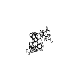 CCc1nc(C2CC2)c(C(N)=O)n1Cc1c2ccocc-2c(Cl)c1-c1ccccc1NS(=O)(=O)C(F)(F)F